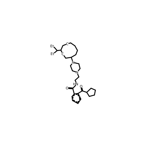 CCC(CC)C1CCCCCCC(N2CCN(CCNC(=O)c3ccccc3C(=O)C3CCCC3)CC2)CC1